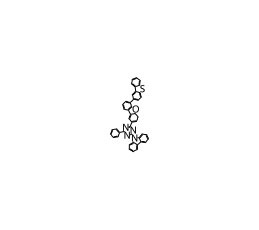 C1=C(c2nc(-c3ccccc3)nc(-n3c4ccccc4c4ccccc43)n2)C=C2c3cccc(-c4ccc5sc6ccccc6c5c4)c3OC2C1